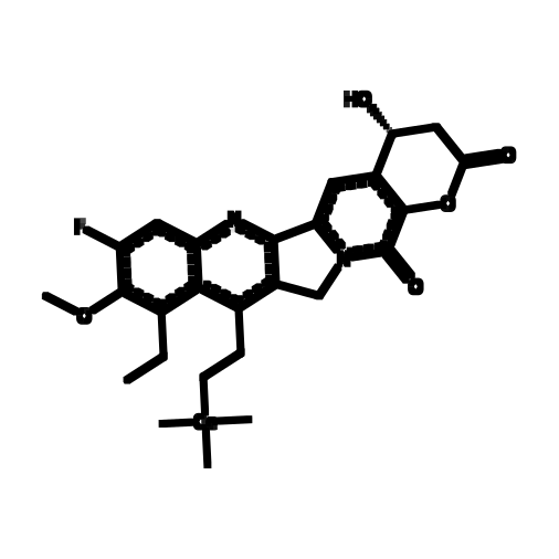 CCc1c(OC)c(F)cc2nc3c(c(C[CH2][Ge]([CH3])([CH3])[CH3])c12)Cn1c-3cc2c(c1=O)OC(=O)C[C@H]2O